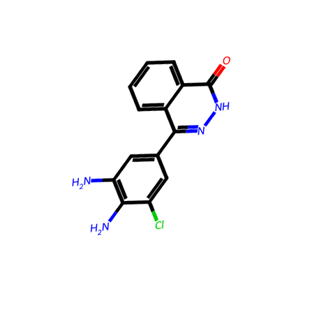 Nc1cc(-c2n[nH]c(=O)c3ccccc23)cc(Cl)c1N